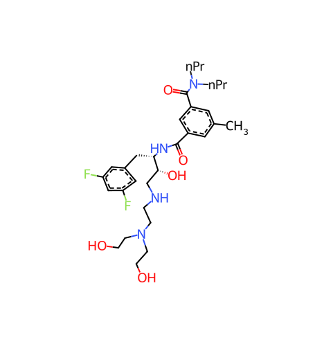 CCCN(CCC)C(=O)c1cc(C)cc(C(=O)N[C@@H](Cc2cc(F)cc(F)c2)[C@H](O)CNCCN(CCO)CCO)c1